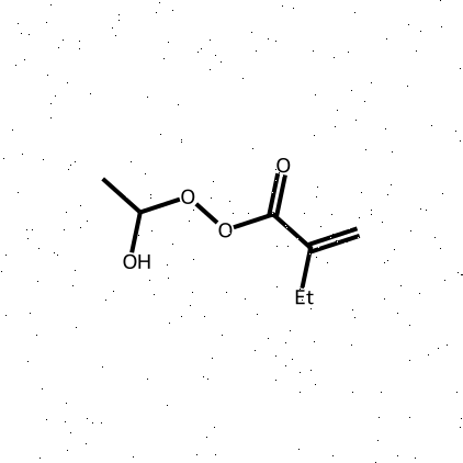 C=C(CC)C(=O)OOC(C)O